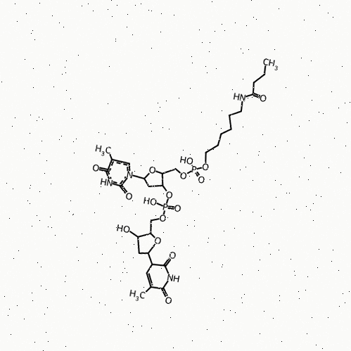 CCCC(=O)NCCCCCCOP(=O)(O)OCC1OC(n2cc(C)c(=O)[nH]c2=O)CC1OP(=O)(O)OCC1OC(C2C=C(C)C(=O)NC2=O)CC1O